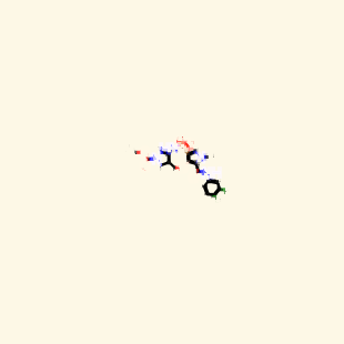 CCOC(=O)N1CC2COc3c(cn(C)c3C(=O)Nc3ccc(F)c(F)c3)S(=O)(=O)NC2C1